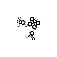 O=C1OC(=O)c2cc(Oc3ccc(C4(c5ccc(Oc6ccc7c(c6)C(=O)OC7=O)cc5)c5ccccc5Oc5ccccc54)cc3)ccc21